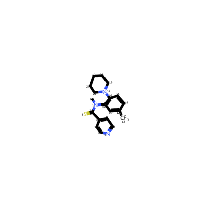 CN(C(=S)c1ccncc1)c1cc(C(F)(F)F)ccc1N1CCCCC1